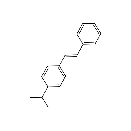 CC(C)c1ccc(/C=C/c2ccccc2)cc1